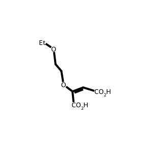 CCOCCOC(=CC(=O)O)C(=O)O